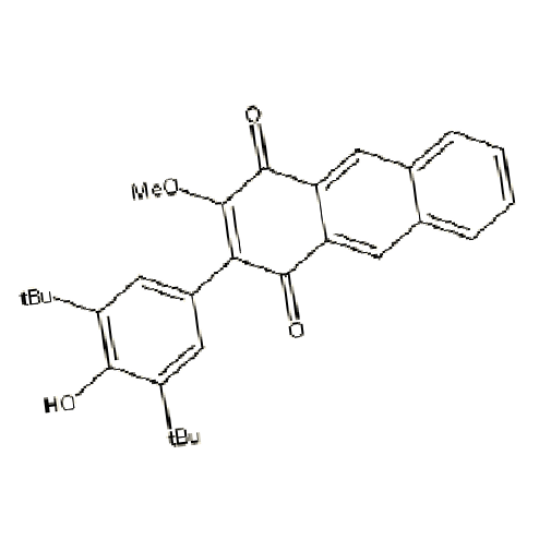 COC1=C(c2cc(C(C)(C)C)c(O)c(C(C)(C)C)c2)C(=O)c2cc3ccccc3cc2C1=O